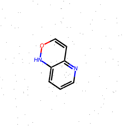 C1=Cc2ncccc2NO1